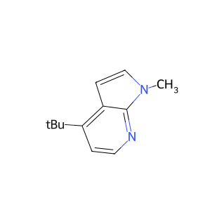 Cn1ccc2c(C(C)(C)C)ccnc21